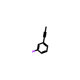 CC#Cc1cccc(I)c1